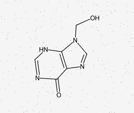 O=c1nc[nH]c2c1ncn2CO